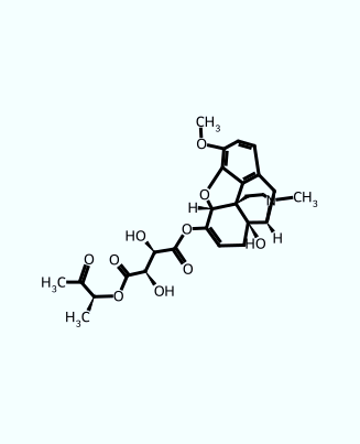 COc1ccc2c3c1O[C@H]1C(OC(=O)[C@H](O)[C@@H](O)C(=O)O[C@@H](C)C(C)=O)=CC[C@@]4(O)[C@@H](C2)N(C)CC[C@]314